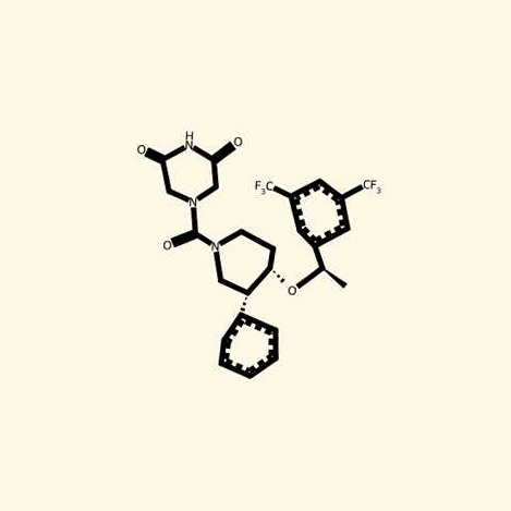 C[C@@H](O[C@H]1CCN(C(=O)N2CC(=O)NC(=O)C2)C[C@H]1c1ccccc1)c1cc(C(F)(F)F)cc(C(F)(F)F)c1